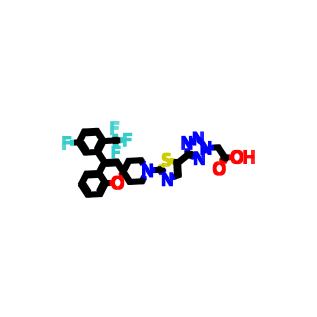 O=C(O)Cn1nnc(-c2cnc(N3CCC4(C=C(c5cc(F)ccc5C(F)(F)F)c5ccccc5O4)CC3)s2)n1